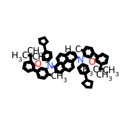 Cc1ccc2c(oc3c(C(C)(C)C)cccc32)c1N(c1ccc(C2CCCC2)cc1)c1ccc2ccc3c(N(c4ccc(C5CCCC5)cc4)c4c(C)ccc5c4oc4c(C(C)(C)C)cccc45)ccc4ccc1c2c43